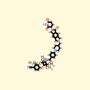 Cc1cc(O[C@H]2C(C)(C)[C@H](NC(=O)c3ccc(N4CCC(CN5Cc6cc7c(cc6C5)C(=O)N([C@@H]5CCC(=O)NC5=O)C7)CC4)cc3)C2(C)C)ccc1C#N